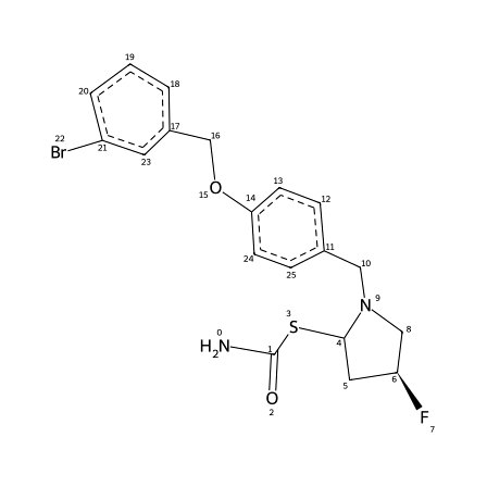 NC(=O)SC1C[C@H](F)CN1Cc1ccc(OCc2cccc(Br)c2)cc1